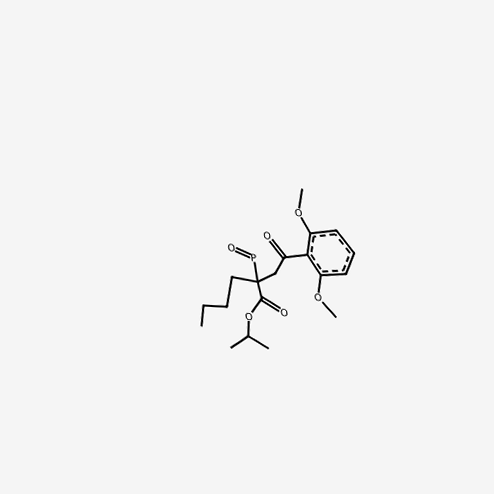 CCCCC(CC(=O)c1c(OC)cccc1OC)(P=O)C(=O)OC(C)C